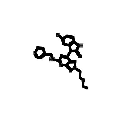 CCOCCn1cc2c(C3C(=O)Nc4ccc(Cl)cc43)nc(NCc3ccncc3)nc2n1